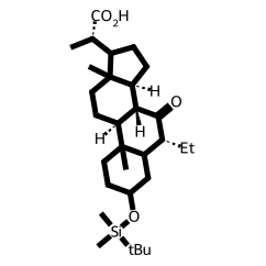 CC[C@H]1C(=O)[C@H]2[C@@H]3CCC([C@H](C)C(=O)O)C3(C)CC[C@@H]2C2(C)CCC(O[Si](C)(C)C(C)(C)C)CC12